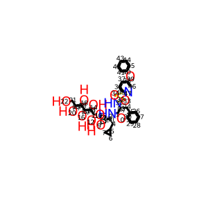 O=C(N[C@@H](CC1CC1)B(O)OC(O)[C@@H](O)[C@@H](O)[C@H](O)[C@H](O)CO)[C@H](Cc1ccccc1)NS(=O)(=O)c1ccc(Oc2ccccc2)cn1